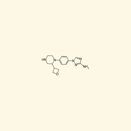 Nc1ncn(-c2ccc(N3CCNCC3C3COC3)cc2)n1